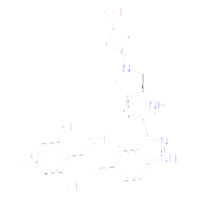 CC(Oc1ccc2[nH]nc(-c3nc4c([nH]3)CN([C]3CC(O)C3)C4)c2c1)c1c(Cl)cncc1Cl